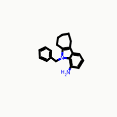 Nc1cccc2c3c(n(Cc4ccccc4)c12)CCCCC3